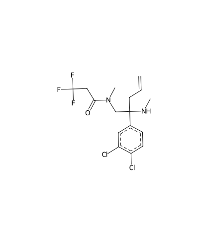 C=CCC(CN(C)C(=O)CC(F)(F)F)(NC)c1ccc(Cl)c(Cl)c1